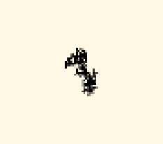 O=C(c1cc(F)ccc1-n1nccn1)N1CCCC(Nc2cnc(C(F)(F)F)cn2)C1